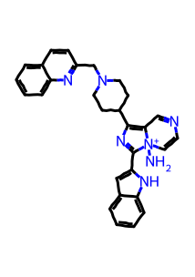 N[N+]12C=CN=CC1=C(C1CCN(Cc3ccc4ccccc4n3)CC1)N=C2c1cc2ccccc2[nH]1